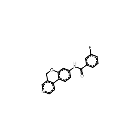 O=C(Nc1ccc2c(c1)OCc1cnccc1-2)c1cccc(F)c1